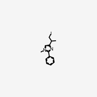 CC(CI)c1cn(C)c(-c2ccccc2)n1